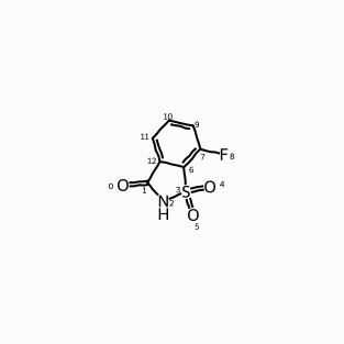 O=C1NS(=O)(=O)c2c(F)cccc21